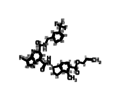 C=CCOC(=O)c1ccc2c(c1C)CC[C@@H]2NC(=O)c1cc(C(=O)NCc2cccc(C(F)(F)F)c2)nc2c(F)cnn12